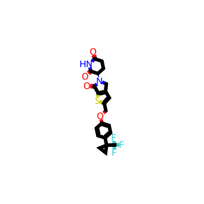 O=C1CC[C@H](N2Cc3cc(COc4ccc(C5(C(F)(F)F)CC5)cc4)sc3C2=O)C(=O)N1